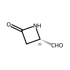 O=C[C@@H]1CC(=O)N1